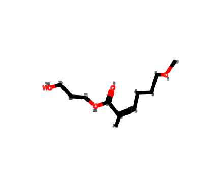 COCCCC=C(C)C(=O)OCCCO